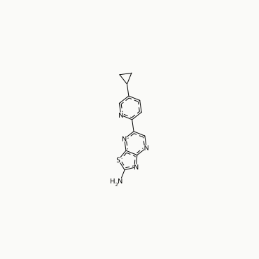 Nc1nc2ncc(-c3ccc(C4CC4)cn3)nc2s1